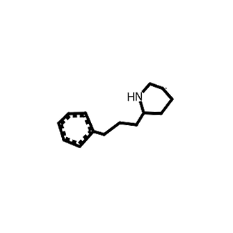 [CH]1CCC(CCCc2ccccc2)NC1